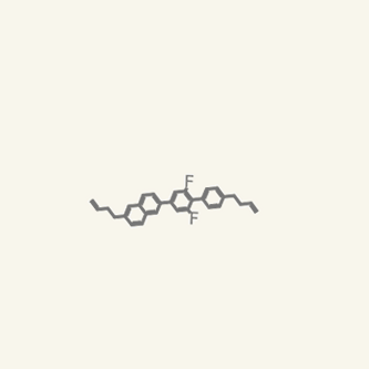 C=CCCc1ccc(-c2c(F)cc(-c3ccc4cc(CCC=C)ccc4c3)cc2F)cc1